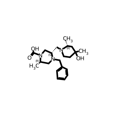 C[C@@H]1CC(C)(O)CCN1C[C@H]1CN(C(=O)O)[C@H](C)CN1Cc1ccccc1